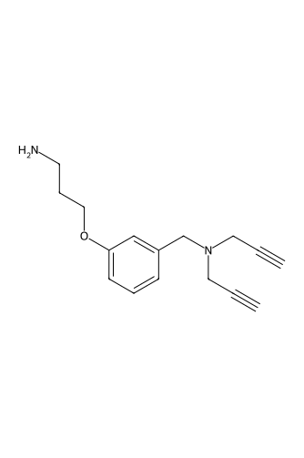 C#CCN(CC#C)Cc1cccc(OCCCN)c1